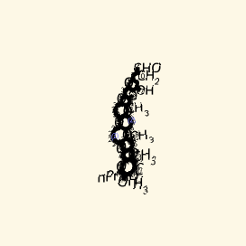 C=C(C=O)CC1CC(O)C2OC3C[C@]4(C)OC5/C=C\CC6OC7C(C/C=C\CC6OC5CCCC4OC3CC2O1)OC1CC2OC(CCC)C(O)CC(C)C[C@@]2(C)OC1C[C@@H]7C